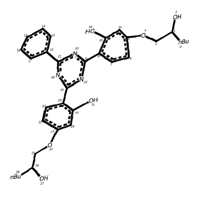 CCCCC(O)COc1ccc(-c2nc(-c3ccccc3)nc(-c3ccc(OCC(O)CCCC)cc3O)n2)c(O)c1